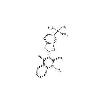 C=c1/c(=C2/Sc3ccc(C(C)(C)C)cc3S2)c(=O)c2ccccc2n1C